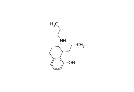 CCCN[C@H]1CCc2cccc(O)c2[C@H]1CCC